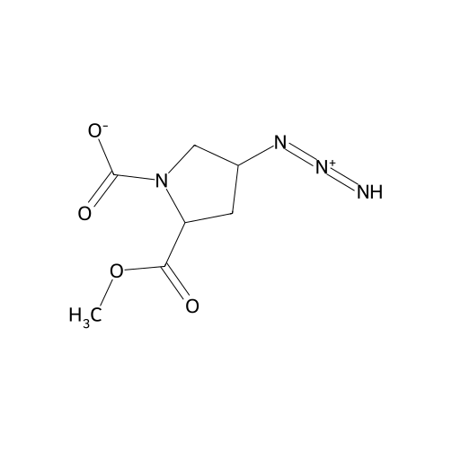 COC(=O)C1CC(N=[N+]=N)CN1C(=O)[O-]